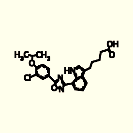 CC(C)Oc1ccc(-c2nc(-c3cccc4c(CCCCC(=O)O)c[nH]c34)no2)cc1Cl